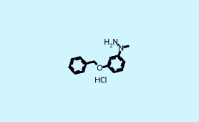 CN(N)c1cccc(OCc2ccccc2)c1.Cl